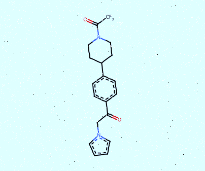 O=C(Cn1cccc1)c1ccc(C2CCN(C(=O)C(F)(F)F)CC2)cc1